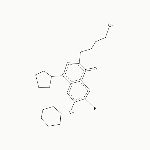 O=c1c(CCCCO)cn(C2CCCC2)c2cc(NC3CCCCC3)c(F)cc12